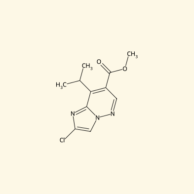 COC(=O)c1cnn2cc(Cl)nc2c1C(C)C